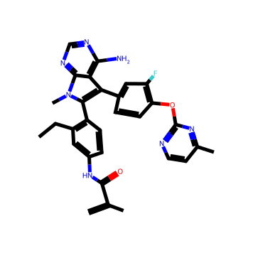 C=C(C)C(=O)Nc1ccc(-c2c(-c3ccc(Oc4nccc(C)n4)c(F)c3)c3c(N)ncnc3n2C)c(CC)c1